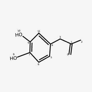 C=C(C)Cc1ccc(O)c(O)c1